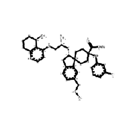 COC(=O)C1(Nc2cccc(Cl)c2)CCC2(CC1)c1cc(CSC(C)=O)ccc1C[C@@H]2C[C@@H](C)COc1ccnc2c1[C@H](C)CCC2